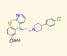 COc1ccc2c(c1)/C(=C/CCN1CCC(c3ccc(Cl)cc3)CC1)c1cccnc1CO2